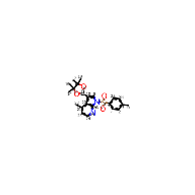 Cc1ccc(S(=O)(=O)n2cc(B3OC(C)(C)C(C)(C)O3)c3c(C)ccnc32)cc1